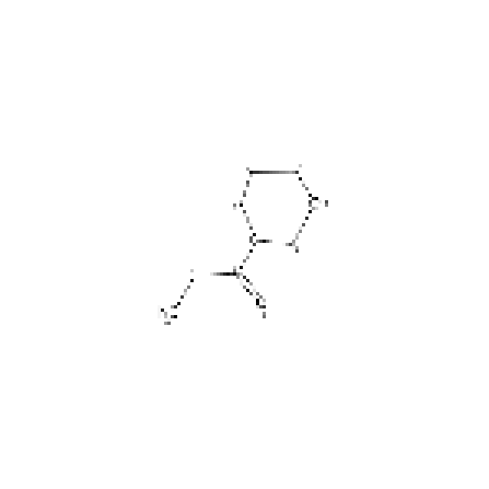 N#CCC(=O)C1CCCOC1